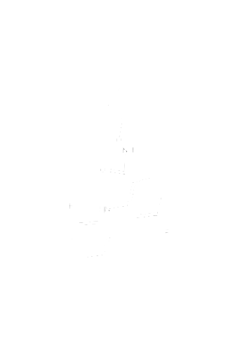 CCCONC(=O)c1ccc(F)c(C)c1Nc1ccc(C)cc1F